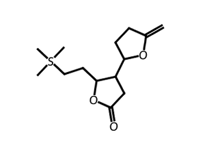 C=C1CCC(C2CC(=O)OC2CCS(C)(C)C)O1